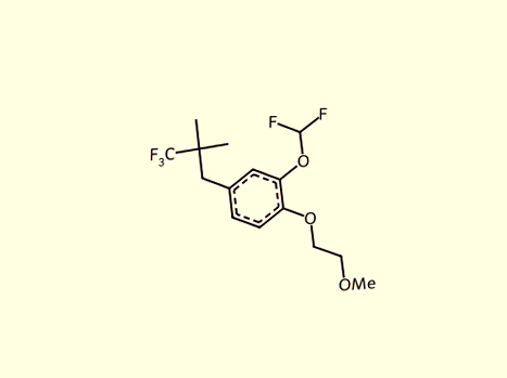 COCCOc1ccc(CC(C)(C)C(F)(F)F)cc1OC(F)F